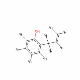 [2H]C([2H])=C([2H])C([2H])([2H])c1c([2H])c([2H])c([2H])c([2H])c1O